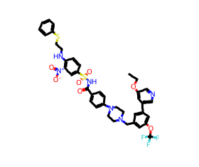 CCOc1cncc(-c2cc(CN3CCN(c4ccc(C(=O)NS(=O)(=O)c5ccc(NCCSc6ccccc6)c([N+](=O)[O-])c5)cc4)CC3)cc(OC(F)(F)F)c2)c1